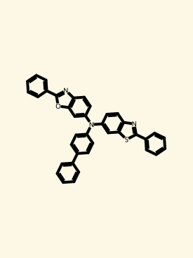 c1ccc(-c2ccc(N(c3ccc4nc(-c5ccccc5)oc4c3)c3ccc4nc(-c5ccccc5)sc4c3)cc2)cc1